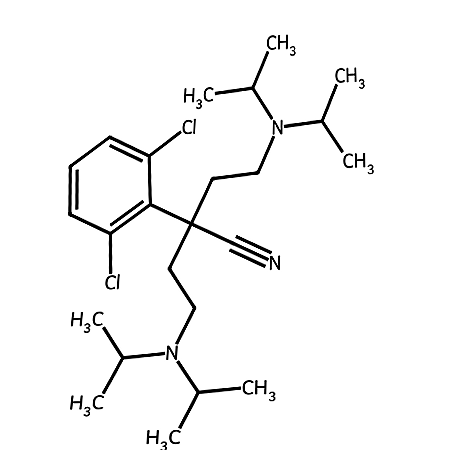 CC(C)N(CCC(C#N)(CCN(C(C)C)C(C)C)c1c(Cl)cccc1Cl)C(C)C